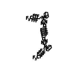 FC(F)(F)C(F)(F)C(F)(F)C(F)(F)CCN(c1cnc(OCC(F)(F)C(F)(F)C(F)(F)C(F)(F)COc2ncc(N(CCC(F)(F)C(F)(F)C(F)(F)C(F)(F)F)C34CC5CC(CC(C5)C3)C4)cn2)nc1)C12CC3CC(CC(C3)C1)C2